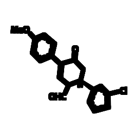 COc1ccc(C2=CC(C=O)[C@H](c3cccc(Cl)c3)CC2=O)cc1